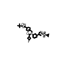 CC(C)(C)c1nc(C23CCC(CN(C(=O)C45CC(F)(C4)C5)c4cccc(-c5cnn(S(=O)(=O)C6CC6)c5)c4)(CC2)CC3)no1